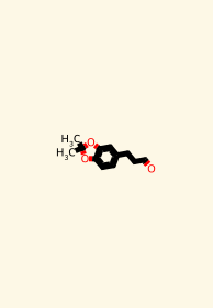 CC1(C)Oc2ccc(CCC=O)cc2O1